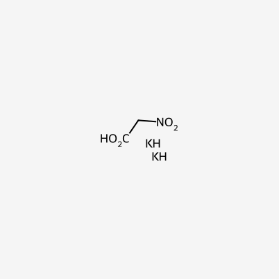 O=C(O)C[N+](=O)[O-].[KH].[KH]